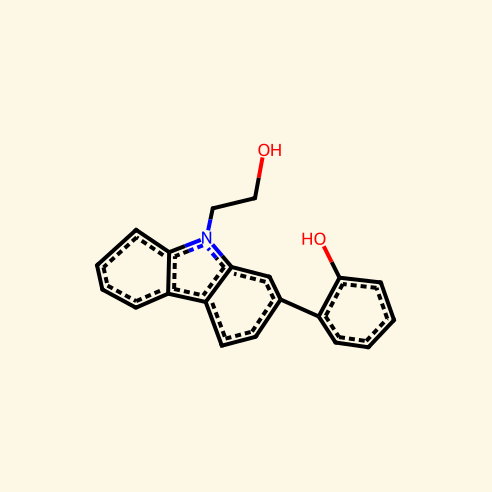 OCCn1c2ccccc2c2ccc(-c3ccccc3O)cc21